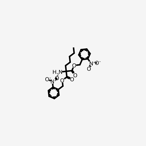 CCCCCC(N)(C(=O)OCc1ccccc1[N+](=O)[O-])C(=O)OCc1ccccc1[N+](=O)[O-]